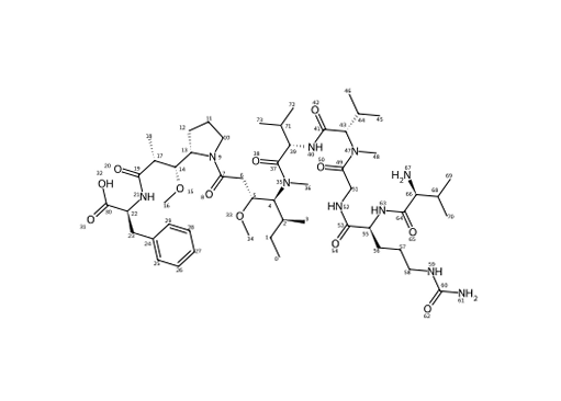 CC[C@H](C)[C@@H]([C@@H](CC(=O)N1CCC[C@H]1[C@H](OC)[C@@H](C)C(=O)N[C@@H](Cc1ccccc1)C(=O)O)OC)N(C)C(=O)[C@@H](NC(=O)[C@H](C(C)C)N(C)C(=O)CNC(=O)[C@H](CCCNC(N)=O)NC(=O)[C@@H](N)C(C)C)C(C)C